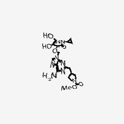 COC(=O)N1CCC(Cc2nc(N)c3ncn(CO[C@H](C(=O)NC4CC4)C(O)CO)c3n2)CC1